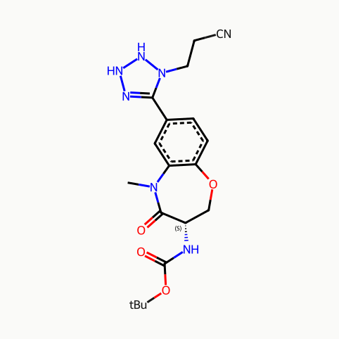 CN1C(=O)[C@@H](NC(=O)OC(C)(C)C)COc2ccc(C3=NNNN3CCC#N)cc21